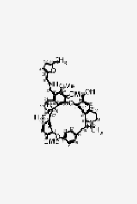 COc1ccc2cc1Oc1ccc(cc1)C[C@H]1c3cc(c(CO)cc3CCN1C)Oc1c(OC)c(OC)c(CNCc3ccc(C)o3)c3c1[C@H](C2)N(C)CC3